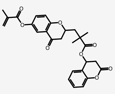 C=C(C)C(=O)Oc1ccc2c(c1)C(=O)CC(CC(C)(C)C(=O)OC1CC(=O)Oc3ccccc31)O2